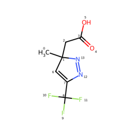 CC1(CC(=O)O)C=C(C(F)(F)F)N=N1